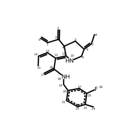 C=CC(=C)C1C/C(=C\C)CN/C1=C(/C=C\C)C(=C)NCc1ccc(C)c(F)c1